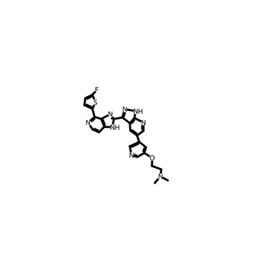 CN(C)CCOc1cncc(-c2cnc3[nH]nc(-c4nc5c(-c6ccc(F)s6)nccc5[nH]4)c3c2)c1